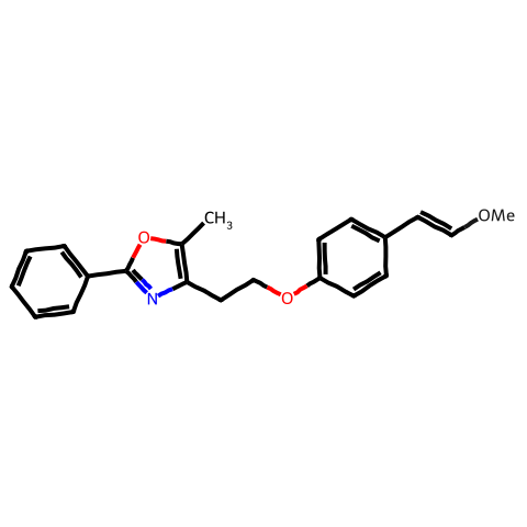 COC=Cc1ccc(OCCc2nc(-c3ccccc3)oc2C)cc1